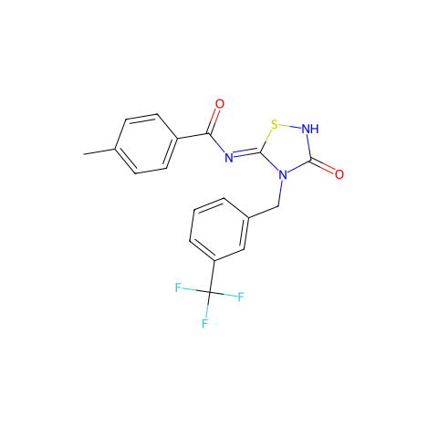 Cc1ccc(C(=O)/N=c2\s[nH]c(=O)n2Cc2cccc(C(F)(F)F)c2)cc1